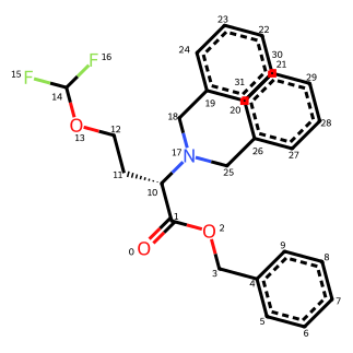 O=C(OCc1ccccc1)[C@H](CCOC(F)F)N(Cc1ccccc1)Cc1ccccc1